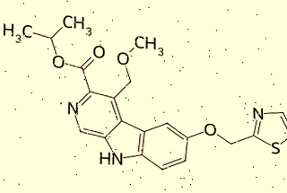 COCc1c(C(=O)OC(C)C)ncc2[nH]c3ccc(OCc4nccs4)cc3c12